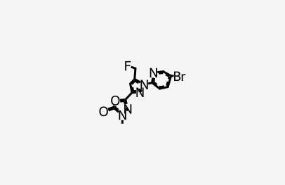 Cn1nc(-c2cc(CF)n(-c3ccc(Br)cn3)n2)oc1=O